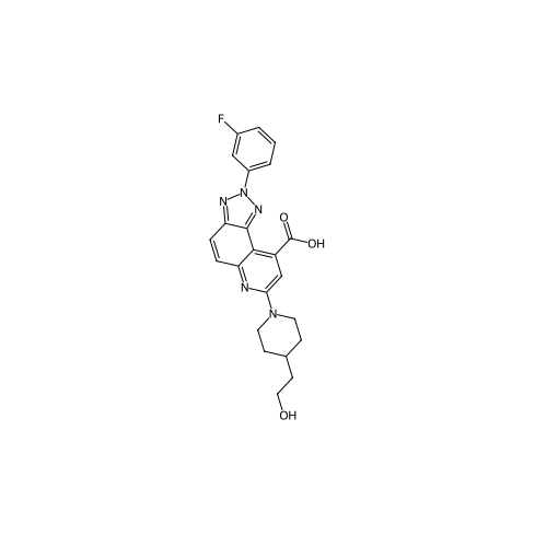 O=C(O)c1cc(N2CCC(CCO)CC2)nc2ccc3nn(-c4cccc(F)c4)nc3c12